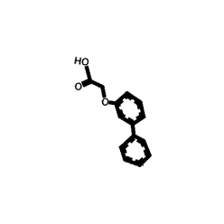 O=C(O)COc1cccc(-c2cc[c]cc2)c1